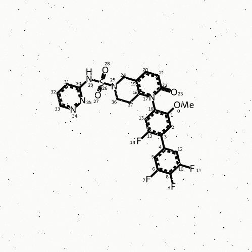 COc1cc(-c2cc(F)c(F)c(F)c2)c(F)cc1-n1c2c(ccc1=O)CN(S(=O)(=O)Nc1cccnn1)CC2